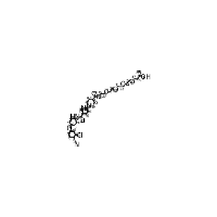 N#Cc1ccc(O[C@H]2CC[C@H](NC(=O)c3ccc(N4CCC(C(=O)NCCOCCOCCOCCOCCC(=O)O)CC4)nn3)CC2)cc1Cl